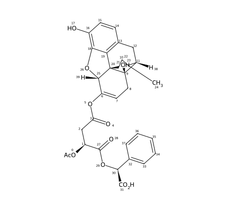 CC(=O)O[C@@H](CC(=O)OC1=CC[C@@]2(O)[C@H]3Cc4ccc(O)c5c4[C@@]2(CCC3C)[C@H]1O5)C(=O)O[C@H](C(=O)O)c1ccccc1